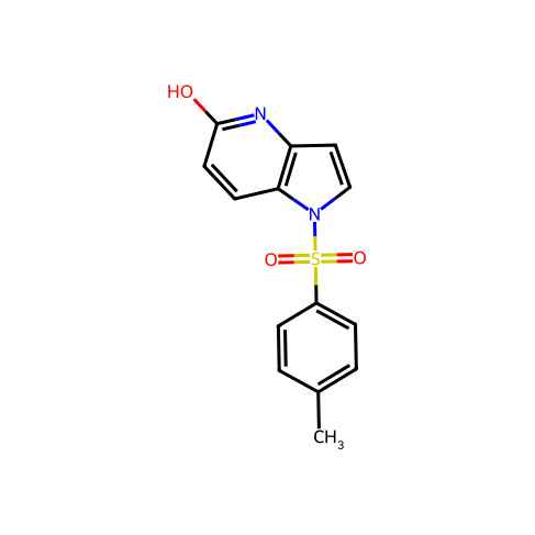 Cc1ccc(S(=O)(=O)n2ccc3nc(O)ccc32)cc1